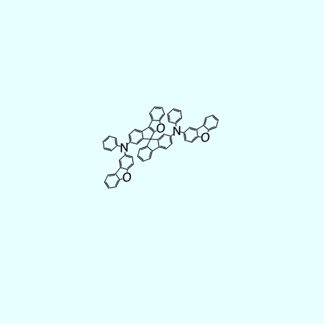 c1ccc(N(c2ccc3c(c2)C2(c4ccccc4-3)c3cc(N(c4ccccc4)c4ccc5oc6ccccc6c5c4)ccc3-c3c2oc2ccccc32)c2ccc3oc4ccccc4c3c2)cc1